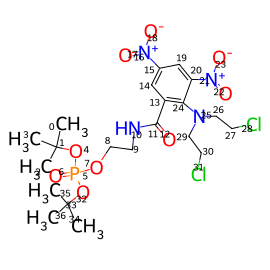 CC(C)(C)OP(=O)(OCCNC(=O)c1cc([N+](=O)[O-])cc([N+](=O)[O-])c1N(CCCl)CCCl)OC(C)(C)C